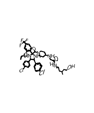 CCOc1cc(C(F)(F)F)ccc1C1(C(=O)N2CCC(NCC(=O)NCCC(C)CCO)CC2)NC(c2ccc(Cl)cc2)C(c2ccc(Cl)cc2)N1